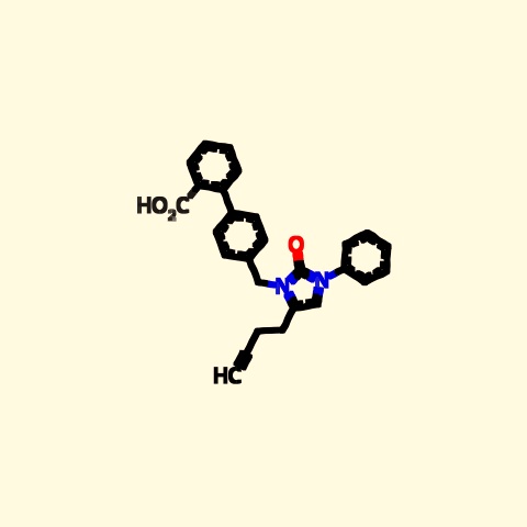 C#CCCc1cn(-c2ccccc2)c(=O)n1Cc1ccc(-c2ccccc2C(=O)O)cc1